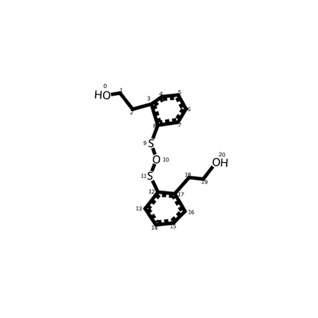 OCCc1ccccc1SOSc1ccccc1CCO